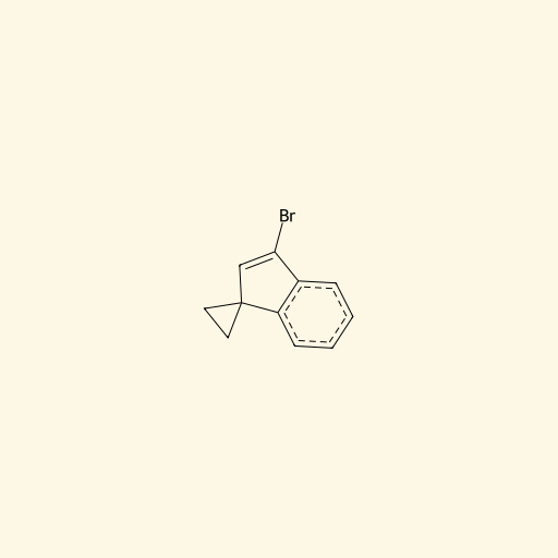 BrC1=CC2(CC2)c2ccccc21